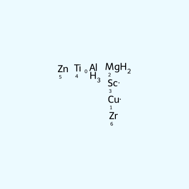 [AlH3].[Cu].[MgH2].[Sc].[Ti].[Zn].[Zr]